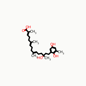 C/C(=C\CC/C(C)=C/CCC(C)(O)CCc1cc(O)cc(C)c1O)CC/C=C(\C)C(=O)O